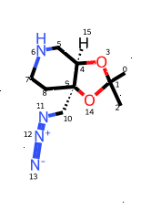 CC1(C)O[C@@H]2CNCC[C@]2(CN=[N+]=[N-])O1